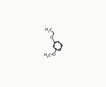 [CH2]COc1cccc(OC)c1